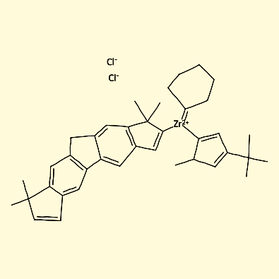 CC1C=C(C(C)(C)C)C=[C]1[Zr+2]([C]1=Cc2cc3c(cc2C1(C)C)Cc1cc2c(cc1-3)C=CC2(C)C)=[C]1CCCCC1.[Cl-].[Cl-]